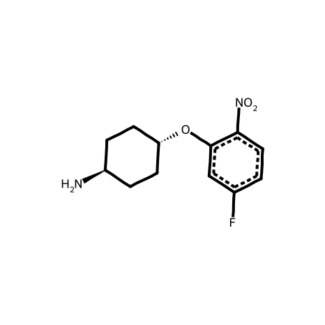 N[C@H]1CC[C@H](Oc2cc(F)ccc2[N+](=O)[O-])CC1